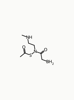 BCC(=O)N(CCNC)SC(C)=O